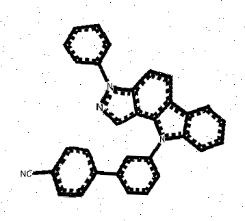 N#Cc1ccc(-c2cccc(-n3c4ccccc4c4ccc5c(cnn5-c5ccccc5)c43)c2)cc1